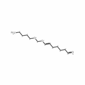 CCCCCOCOC=CCCCCC=O